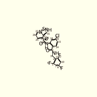 O=C(NCc1c(F)cc(F)cc1F)c1ccc(Cl)cc1NS(=O)(=O)C1=CC=CN2SNC=C12